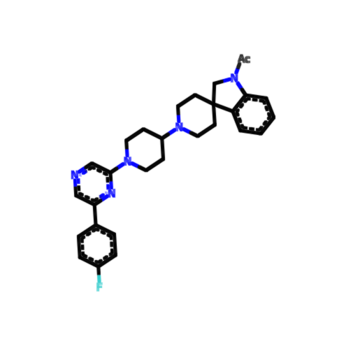 CC(=O)N1CC2(CCN(C3CCN(c4cncc(-c5ccc(F)cc5)n4)CC3)CC2)c2ccccc21